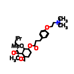 COC1[C@H](OC(=O)CCc2ccc(OCCN(C)C)cc2)CCC2(CO2)[C@H]1[C@@]1(C)O[C@@H]1CCC(C)C